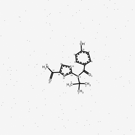 CC(C)(C)N(C(=O)c1ccc(O)cc1)c1nc(C(N)=O)cs1